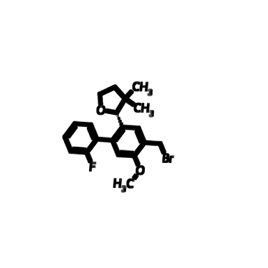 COc1cc(-c2ccccc2F)c([C@@H]2OCCC2(C)C)cc1CBr